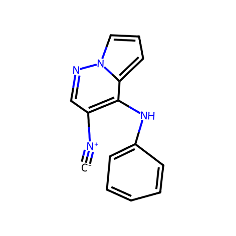 [C-]#[N+]c1cnn2cccc2c1Nc1ccccc1